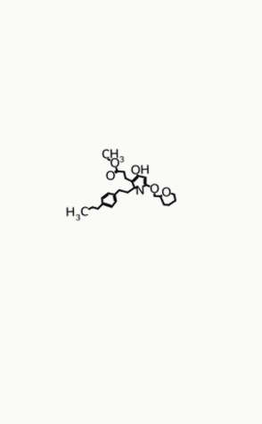 CCCc1ccc(CCc2nc(OCC3CCCCO3)cc(O)c2CCC(=O)OCC)cc1